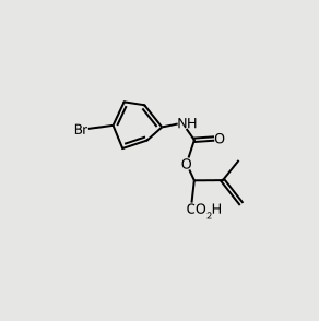 C=C(C)C(OC(=O)Nc1ccc(Br)cc1)C(=O)O